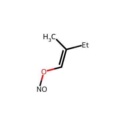 CCC(C)=CON=O